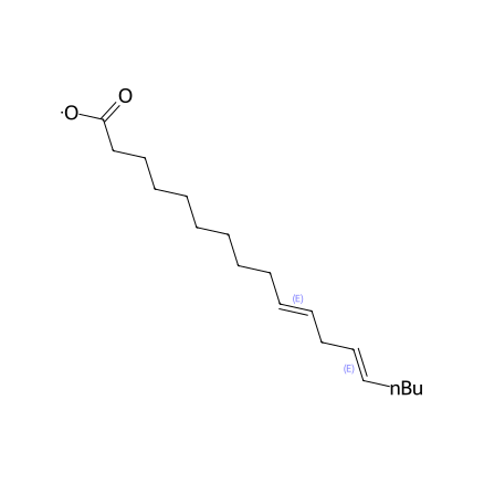 CCCC/C=C/C/C=C/CCCCCCCCC([O])=O